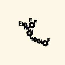 CCO/N=C(\c1ccc(F)c(F)c1)c1ccc(CN2CC3(C2)CN(c2cccc(F)c2)C3)cn1